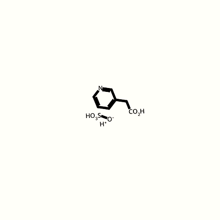 O=C(O)Cc1cccnc1.O=S(=O)([O-])O.[H+]